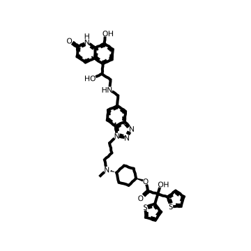 CN(CCCn1nnc2cc(CNCC(O)c3ccc(O)c4[nH]c(=O)ccc34)ccc21)[C@H]1CC[C@H](OC(=O)C(O)(c2cccs2)c2cccs2)CC1